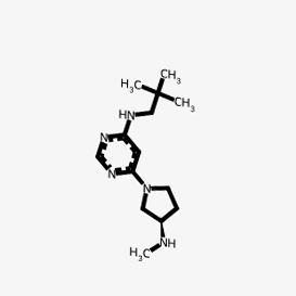 CN[C@@H]1CCN(c2cc(NCC(C)(C)C)ncn2)C1